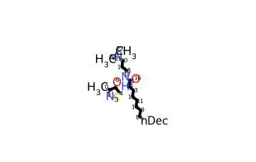 CC1=NSCC1=O.CCCCCCCCCCCCCCCCCC(=O)NCCCN(C)C